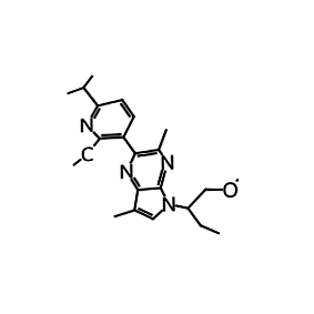 CCc1nc(C(C)C)ccc1-c1nc2c(C)cn(C(CC)COC)c2nc1C